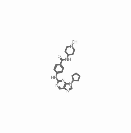 CN1CCC(NC(=O)c2ccc(Nc3ncc4ncn(C5CCCC5)c4n3)cc2)CC1